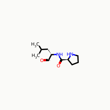 CC(C)C[C@@H]([C]=O)NC(=O)[C@@H]1CCCN1